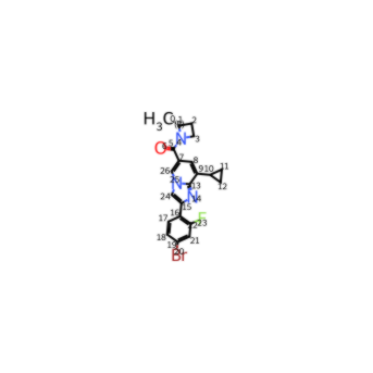 C[C@@H]1CCN1C(=O)c1cc(C2CC2)c2nc(-c3ccc(Br)cc3F)cn2c1